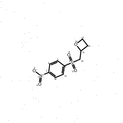 O=[N+]([O-])c1ccc(S(=O)(=O)CC2CCO2)cc1